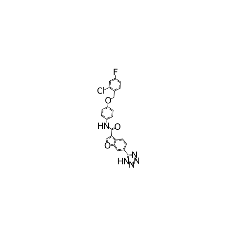 O=C(Nc1ccc(OCc2ccc(F)cc2Cl)cc1)c1coc2cc(-c3nnn[nH]3)ccc12